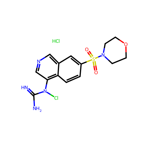 Cl.N=C(N)N(Cl)c1cncc2cc(S(=O)(=O)N3CCOCC3)ccc12